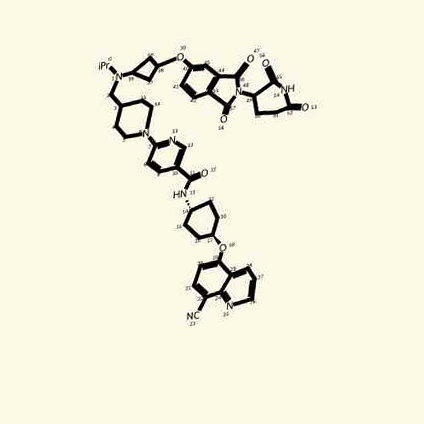 CC(C)N(CC1CCN(c2ccc(C(=O)N[C@H]3CC[C@H](Oc4ccc(C#N)c5ncccc45)CC3)cn2)CC1)C1CC(Oc2ccc3c(c2)C(=O)N(C2CCC(=O)NC2=O)C3=O)C1